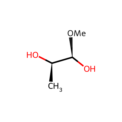 CO[C@@H](O)[C@@H](C)O